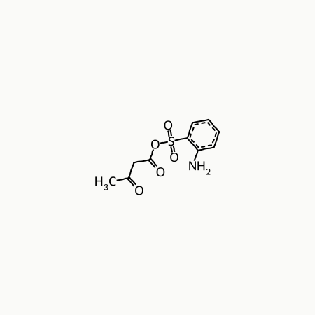 CC(=O)CC(=O)OS(=O)(=O)c1ccccc1N